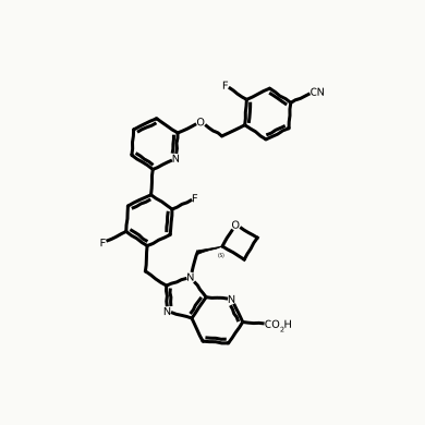 N#Cc1ccc(COc2cccc(-c3cc(F)c(Cc4nc5ccc(C(=O)O)nc5n4C[C@@H]4CCO4)cc3F)n2)c(F)c1